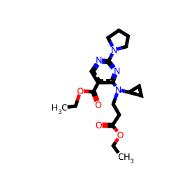 CCOC(=O)CCN(c1nc(N2CCCC2)ncc1C(=O)OCC)C1CC1